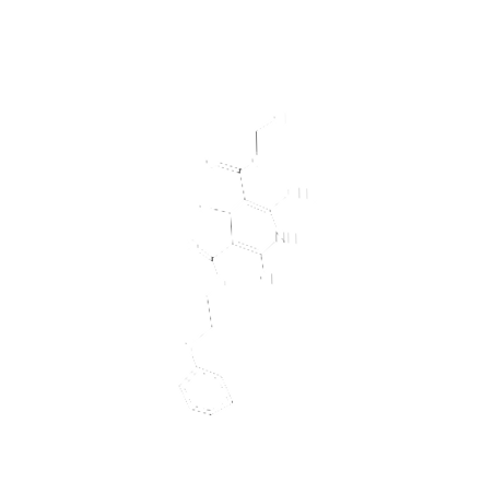 CCOC(=O)C1=C(C)NC(C)=C(C(=O)OCCSc2ccccc2)C1C